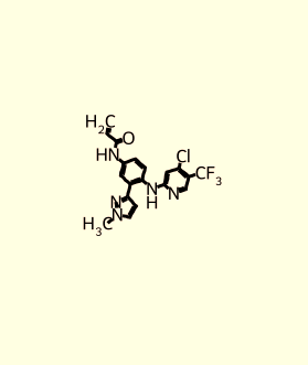 C=CC(=O)Nc1ccc(Nc2cc(Cl)c(C(F)(F)F)cn2)c(-c2ccn(C)n2)c1